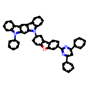 c1ccc(-c2cc(-c3ccccc3)nc(-c3ccc4c(c3)oc3ccc(-n5c6ccccc6c6cc7c8ccccc8n(-c8ccccc8)c7cc65)cc34)n2)cc1